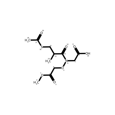 COC(=O)CON(CC(=O)O)C(=O)C(C)CSC(C)=O